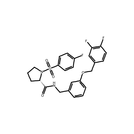 O=C(NCc1cccc(OCc2ccc(F)c(F)c2)c1)[C@@H]1CCCN1S(=O)(=O)c1ccc(F)cc1